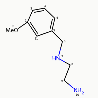 COc1cccc(CNCCN)c1